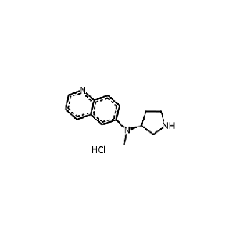 CN(c1ccc2ncccc2c1)[C@H]1CCNC1.Cl